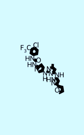 Cc1cc(Nc2cc(-c3ccco3)n[nH]2)nc(Nc2ccc(NC(=O)Nc3ccc(Cl)c(C(F)(F)F)c3)nc2)n1